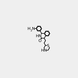 Nc1cccc(C2NC(=O)C(CCC3CNCCS3)c3ccccc32)c1